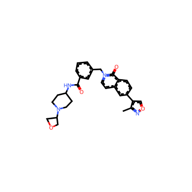 Cc1nocc1-c1ccc2c(=O)n(Cc3cccc(C(=O)NC4CCN(C5COC5)CC4)c3)ccc2c1